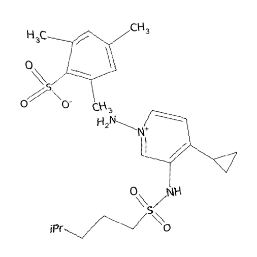 CC(C)CCCS(=O)(=O)Nc1c[n+](N)ccc1C1CC1.Cc1cc(C)c(S(=O)(=O)[O-])c(C)c1